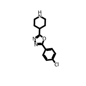 Clc1ccc(-c2nnc(C3CCNCC3)o2)cc1